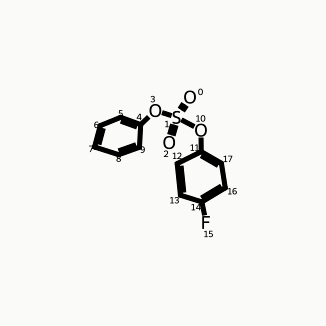 O=S(=O)(Oc1ccccc1)Oc1ccc(F)cc1